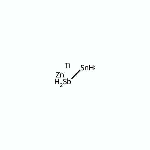 [SnH][SbH2].[Ti].[Zn]